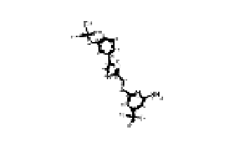 Nc1cc(C(F)(F)F)nc(SCc2ncc(-c3cccc(OC(F)(F)F)c3)o2)n1